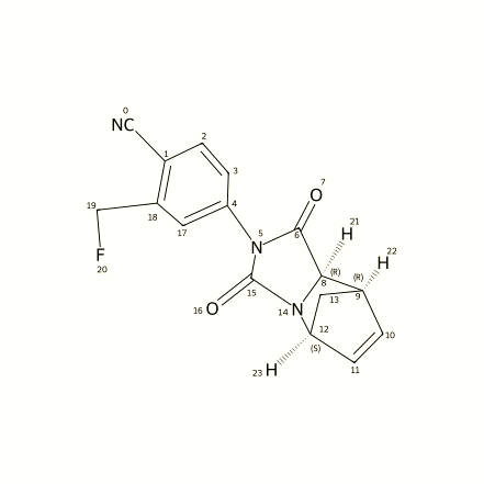 N#Cc1ccc(N2C(=O)[C@H]3[C@H]4C=C[C@H](C4)N3C2=O)cc1CF